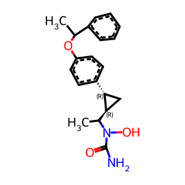 CC(Oc1ccc([C@@H]2C[C@H]2C(C)N(O)C(N)=O)cc1)c1ccccc1